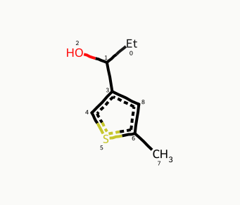 CCC(O)c1csc(C)c1